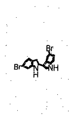 Brc1ccc2c(c1)NC(c1c[nH]c3ccc(Br)cc13)C2